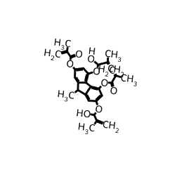 C=C(C)C(=O)Oc1cc(OC(O)C(=C)C)c2c(c1)C(C)c1cc(OC(O)C(=C)C)cc(OC(=O)C(=C)C)c1-2